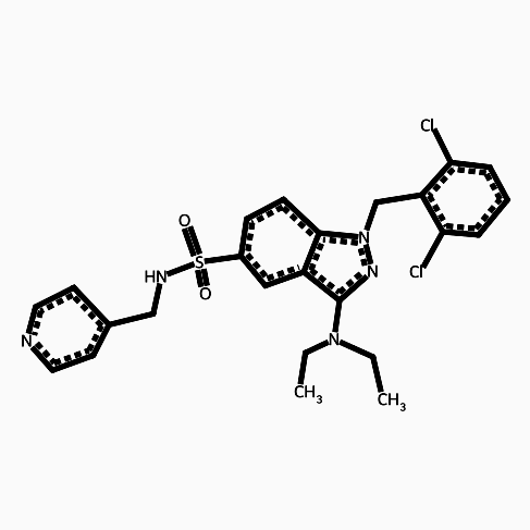 CCN(CC)c1nn(Cc2c(Cl)cccc2Cl)c2ccc(S(=O)(=O)NCc3ccncc3)cc12